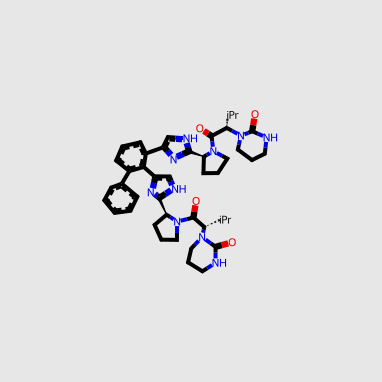 CC(C)[C@@H](C(=O)N1CCC[C@H]1c1nc(-c2cccc(-c3ccccc3)c2-c2c[nH]c([C@@H]3CCCN3C(=O)[C@H](C(C)C)N3CCCNC3=O)n2)c[nH]1)N1CCCNC1=O